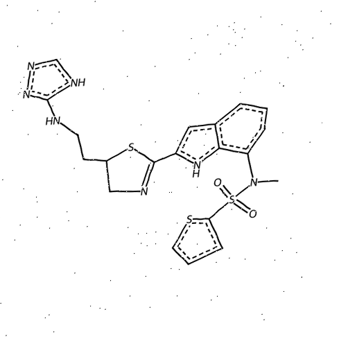 CN(c1cccc2cc(C3=NCC(CCNc4nnc[nH]4)S3)[nH]c12)S(=O)(=O)c1cccs1